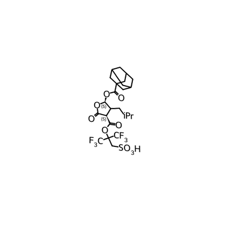 CC(C)CC1[C@H](OC(=O)C23CC4CC(CC(C4)C2)C3)OC(=O)[C@@H]1C(=O)OC(CS(=O)(=O)O)(C(F)(F)F)C(F)(F)F